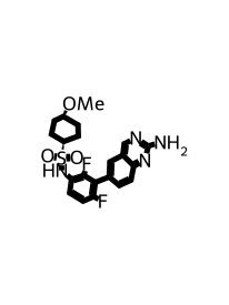 CO[C@H]1CC[C@H](S(=O)(=O)Nc2ccc(F)c(-c3ccc4nc(N)ncc4c3)c2F)CC1